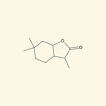 CC1C(=O)OC2CC(C)(C)CCC21